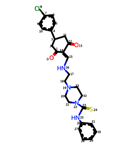 O=C1CC(c2ccc(Cl)cc2)CC(=O)C1=CNCCN1CCN(C(=S)Nc2ccccc2)CC1